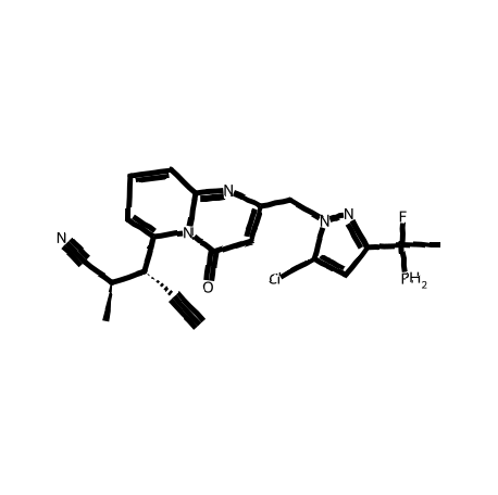 C#C[C@@H](c1cccc2nc(Cn3nc(C(C)(F)P)cc3Cl)cc(=O)n12)[C@@H](C)C#N